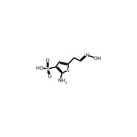 Nc1sc(CC=NO)cc1S(=O)(=O)O